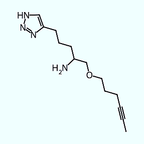 CC#CCCCOCC(N)CCCc1c[nH]nn1